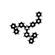 C1=C(c2nc(-c3ccc(-c4cccc(-c5ccccc5)c4)cc3)nc(-c3cccc(-n4c5ccccc5c5ccccc54)c3)n2)CCC=C1n1c2ccccc2c2ccccc21